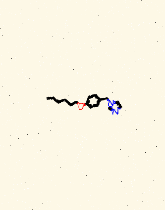 CCCCCCOc1ccc(Cn2ccnc2)cc1